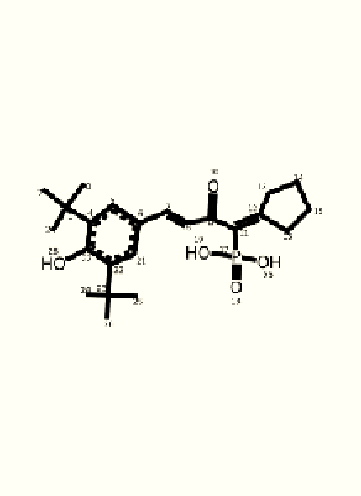 CC(C)(C)c1cc(C=CC(=O)C(=C2CCCC2)P(=O)(O)O)cc(C(C)(C)C)c1O